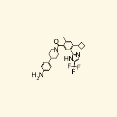 Cc1cc(C2CCC2)c(-c2ncc(C(F)(F)F)[nH]2)cc1C(=O)N1CCC(c2ccc(N)cc2)CC1